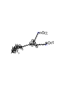 CCCCCCCC/C=C\CCCCCCCC(=O)OCC(COC(=O)CCCCCCC/C=C\CCCCCCCC)OC(=O)CCCCCCCCC(=O)O[C@H]1CC[C@@]2(C)[C@@H](CC[C@@H]3[C@@H]2CC[C@]2(C)[C@@H](C(C)=O)CC[C@@H]32)C1